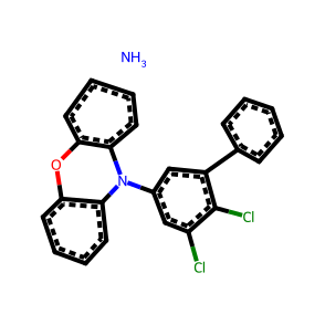 Clc1cc(N2c3ccccc3Oc3ccccc32)cc(-c2ccccc2)c1Cl.N